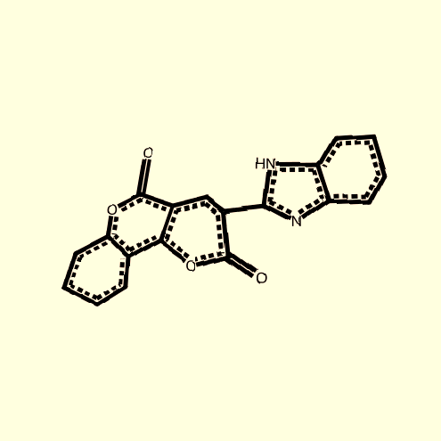 O=c1oc2c(cc1-c1nc3ccccc3[nH]1)c(=O)oc1ccccc12